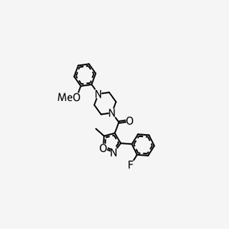 COc1ccccc1N1CCN(C(=O)c2c(-c3ccccc3F)noc2C)CC1